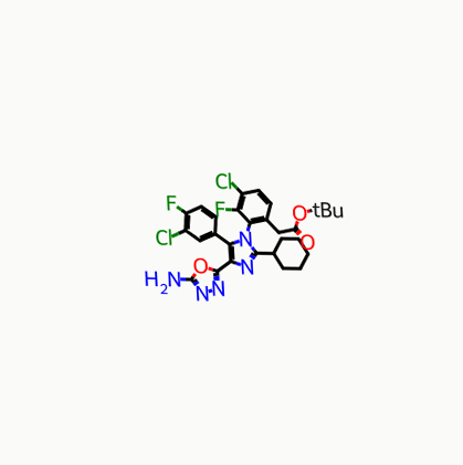 CC(C)(C)OC(=O)Cc1ccc(Cl)c(F)c1-n1c(C2CCCCC2)nc(-c2nnc(N)o2)c1-c1ccc(F)c(Cl)c1